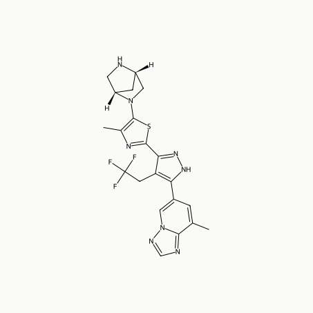 Cc1nc(-c2n[nH]c(-c3cc(C)c4ncnn4c3)c2CC(F)(F)F)sc1N1C[C@@H]2C[C@H]1CN2